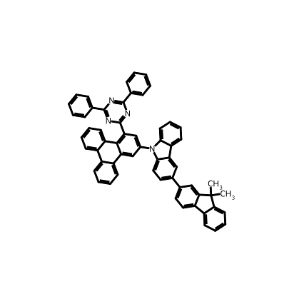 CC1(C)c2ccccc2-c2ccc(-c3ccc4c(c3)c3ccccc3n4-c3cc(-c4nc(-c5ccccc5)nc(-c5ccccc5)n4)c4c5ccccc5c5ccccc5c4c3)cc21